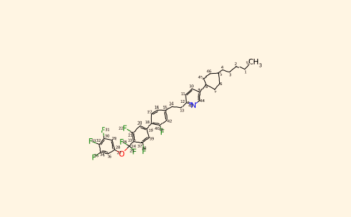 CCCCCC1CCC(c2ccc(CCc3ccc(-c4cc(F)c(C(F)(F)Oc5cc(F)c(F)c(F)c5)c(F)c4)c(F)c3)nc2)CC1